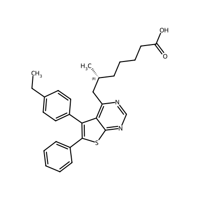 CCc1ccc(-c2c(-c3ccccc3)sc3ncnc(C[C@H](C)CCCCC(=O)O)c23)cc1